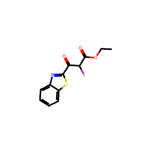 CCOC(=O)C(I)C(=O)c1nc2ccccc2s1